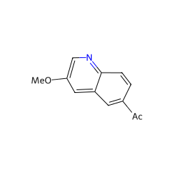 COc1cnc2ccc(C(C)=O)cc2c1